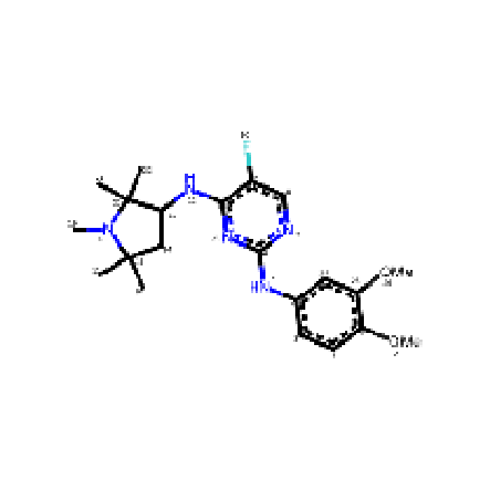 COc1ccc(Nc2ncc(F)c(NC3CC(C)(C)N(C)C3(C)C)n2)cc1OC